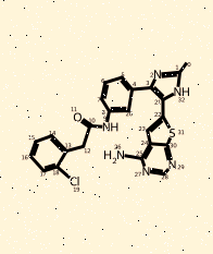 Cc1nc(-c2cccc(NC(=O)Cc3ccccc3Cl)c2)c(-c2cc3c(N)ncnc3s2)[nH]1